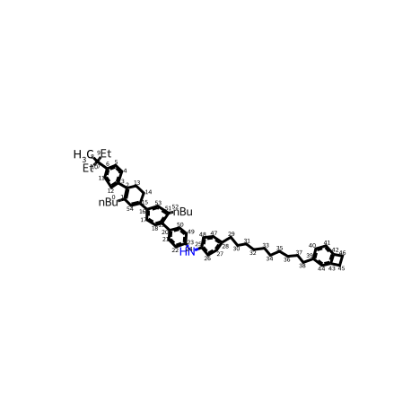 CCCCC1=C(c2ccc(C(C)(CC)CC)cc2)CCC(c2ccc(-c3ccc(Nc4ccc(CCCCCCCCCCc5ccc6c(c5)CC6)cc4)cc3)c(CCCC)c2)=C1